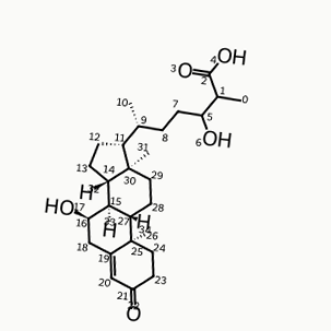 CC(C(=O)O)C(O)CC[C@@H](C)[C@H]1CC[C@H]2[C@@H]3[C@H](O)CC4=CC(=O)CC[C@]4(C)[C@H]3CC[C@]12C